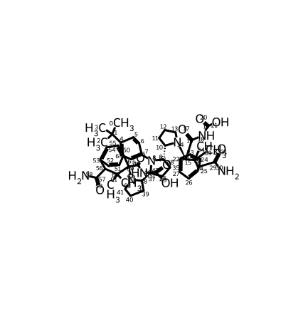 CC(C)(C)c1ccc(N2[C@H](C3CCCN3[C@]3(C(=O)NC(=O)O)c4ccc(cc4)C(C(N)=O)C3(C)C)CC[C@H]2C2CCCN2[C@]2(C(=O)NC(=O)O)c3ccc(cc3)C(C(N)=O)C2(C)C)cc1